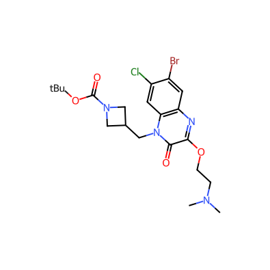 CN(C)CCOc1nc2cc(Br)c(Cl)cc2n(CC2CN(C(=O)OC(C)(C)C)C2)c1=O